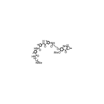 C=C1C[C@H]2C=Nc3cc(OCCCC(=O)Nc4cc(C(=O)Nc5cc(C(=O)Nc6cc(C(=O)NC(C)(C)CC(C)(C)NC)n(C)c6)n(C)c5)n(C)c4)c(OC)cc3C(=O)N2C1